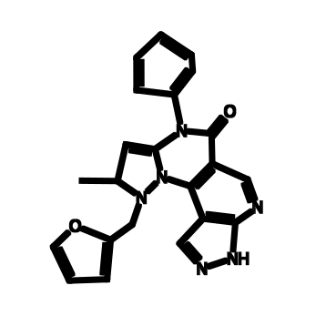 CC1C=C2N(c3ccccc3)C(=O)c3cnc4[nH]ncc4c3N2N1Cc1ccco1